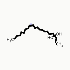 CCCCCCCC/C=C\CCCCCCCCC(O)(O)CCC